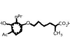 CCCc1c(OCCCCC(C)C(=O)O)ccc(C(C)=O)c1O